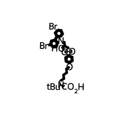 CC(C)(C)N(CCCCCOc1ccc(S(=O)(=O)CC(O)Cn2c3ccc(Br)cc3c3cc(Br)ccc32)cc1)C(=O)O